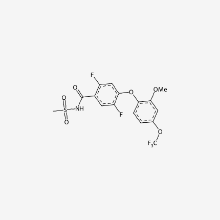 COc1cc(OC(F)(F)F)ccc1Oc1cc(F)c(C(=O)NS(C)(=O)=O)cc1F